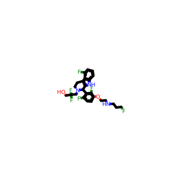 OCC(F)(F)CN1CCc2c([nH]c3cccc(F)c23)C1c1c(F)ccc(OCCNCCCF)c1F